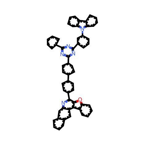 c1ccc(-c2nc(-c3ccc(-c4ccc(-c5nc6cc7ccccc7cc6c6c5oc5ccccc56)cc4)cc3)nc(-c3cccc(-n4c5ccccc5c5ccccc54)c3)n2)cc1